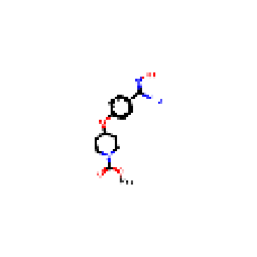 CC(C)(C)OC(=O)N1CCC(Oc2ccc(C(N)=NO)cc2)CC1